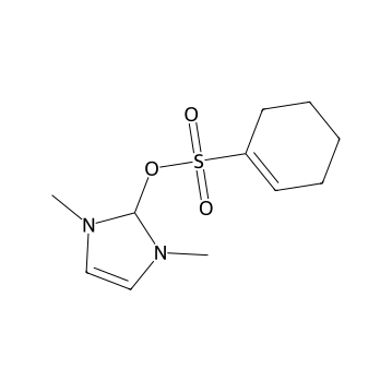 CN1C=CN(C)C1OS(=O)(=O)C1=CCCCC1